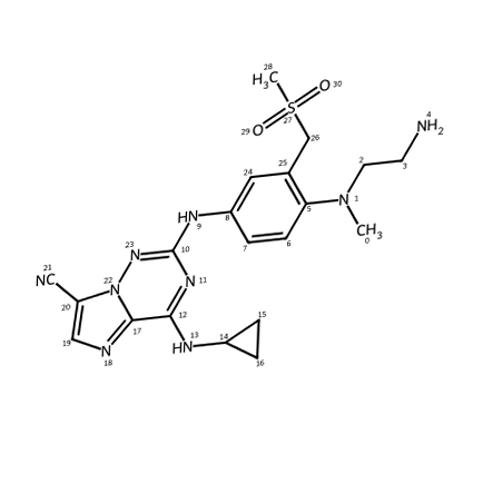 CN(CCN)c1ccc(Nc2nc(NC3CC3)c3ncc(C#N)n3n2)cc1CS(C)(=O)=O